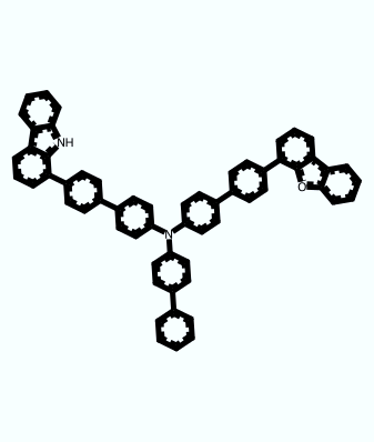 c1ccc(-c2ccc(N(c3ccc(-c4ccc(-c5cccc6c5[nH]c5ccccc56)cc4)cc3)c3ccc(-c4ccc(-c5cccc6c5oc5ccccc56)cc4)cc3)cc2)cc1